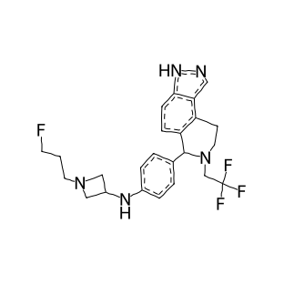 FCCCN1CC(Nc2ccc(C3c4ccc5[nH]ncc5c4CCN3CC(F)(F)F)cc2)C1